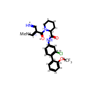 CN/C=C(\C=N)C(=O)N1CCCCC1C(=O)Nc1ccc(-c2ccccc2OC(F)(F)F)c(Cl)c1